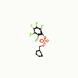 O=S(=O)(OCc1ccccc1)Oc1c(F)c(F)c(F)c(F)c1F